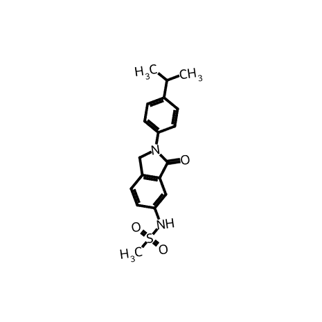 CC(C)c1ccc(N2Cc3ccc(NS(C)(=O)=O)cc3C2=O)cc1